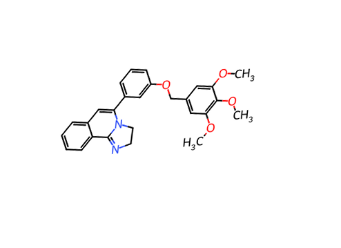 COc1cc(COc2cccc(C3=Cc4ccccc4C4=NCCN34)c2)cc(OC)c1OC